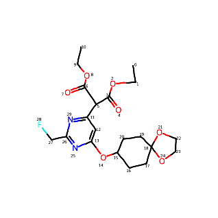 CCOC(=O)C(C(=O)OCC)c1cc(OC2CCC3(CC2)OCCO3)nc(CF)n1